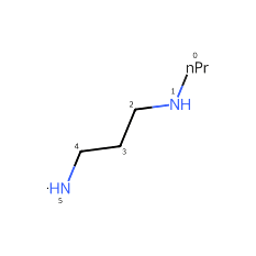 CCCNCCC[NH]